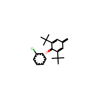 C=C1C=C(C(C)(C)C)C(=O)C(C(C)(C)C)=C1.Clc1ccccc1